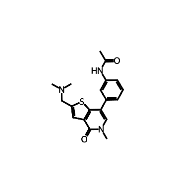 CC(=O)Nc1cccc(-c2cn(C)c(=O)c3cc(CN(C)C)sc23)c1